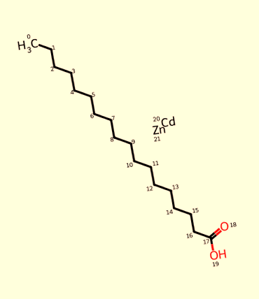 CCCCCCCCCCCCCCCCCC(=O)O.[Cd].[Zn]